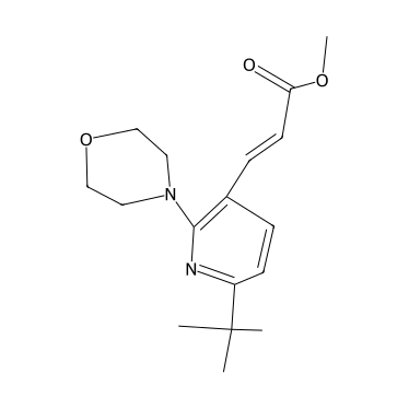 COC(=O)C=Cc1ccc(C(C)(C)C)nc1N1CCOCC1